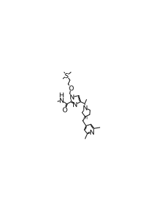 CNC(=O)c1nc(C(C)N2CC[C@@H](Cc3cc(C)nc(C)c3)C2)cn1COCCS(C)(C)C